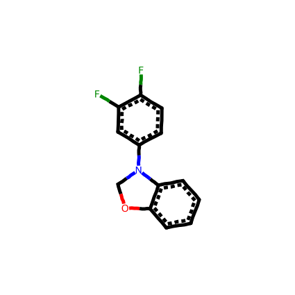 Fc1ccc(N2COc3ccccc32)cc1F